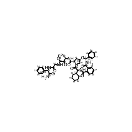 CCCC(NC(=O)[C@@H]1C[C@@H](OCc2ccccc2)CN1C(=O)C(NC(=O)c1ccccc1C(N)=O)C1CCCCC1)C(=O)C(=O)NCC(=O)NC(C(N)=O)c1ccccc1